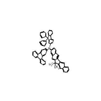 CC1(C)c2cc3ccccc3cc2-c2cc3ccc(N(c4ccc5c(c4)C(c4ccccc4)(c4ccccc4)c4ccccc4-5)c4ccc5c6ccccc6c6ccccc6c5c4)cc3cc21